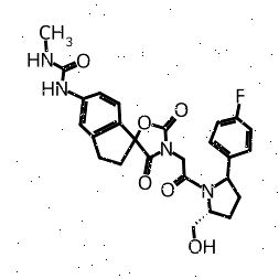 CNC(=O)Nc1ccc2c(c1)CCC21OC(=O)N(CC(=O)N2C(c3ccc(F)cc3)CC[C@@H]2CO)C1=O